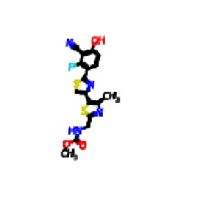 COC(=O)NCc1nc(C)c(-c2csc(-c3ccc(O)c(C#N)c3F)n2)s1